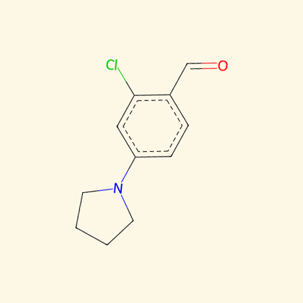 O=Cc1ccc(N2CCCC2)cc1Cl